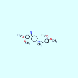 COc1ccc(CCN(C)C2CCCC(C#N)(c3ccc(OC)c(OC)c3)CCC2)cc1OC